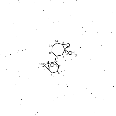 CC12CC(C3CCCC4(C)SC34)CCCC1O2